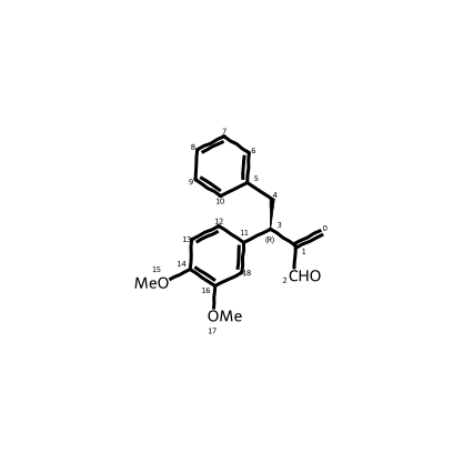 C=C(C=O)[C@H](Cc1ccccc1)c1ccc(OC)c(OC)c1